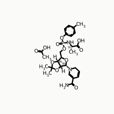 CC(=O)O.Cc1ccc(OP(=O)(N[C@@H](C)C(=O)O)OCC2O[C@@H](N3C=C(C(N)=O)C=CC3)[C@@H]3OC(C)(C)O[C@H]23)cc1